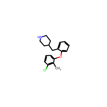 Cc1c(Cl)cccc1Oc1ccccc1CC1CCNCC1